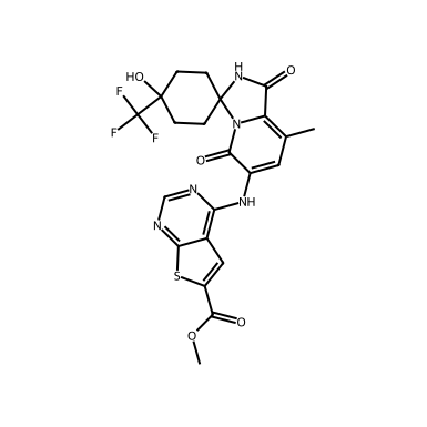 COC(=O)c1cc2c(Nc3cc(C)c4n(c3=O)C3(CCC(O)(C(F)(F)F)CC3)NC4=O)ncnc2s1